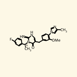 COc1cc(Cc2c[nH]c(=N)n([C@@H](C)c3ccc(F)cc3)c2=O)ccc1-n1cnc(C)c1